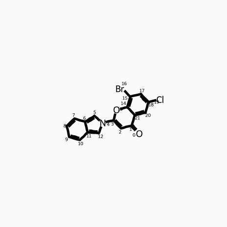 O=c1cc(-n2cc3ccccc3c2)oc2c(Br)cc(Cl)cc12